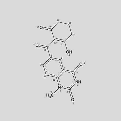 Cn1c(=O)[nH]c(=O)c2cc(C(=O)C3=C(O)CCCC3=O)ccc21